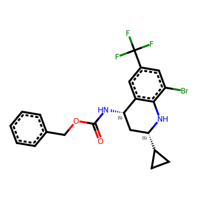 O=C(N[C@H]1C[C@@H](C2CC2)Nc2c(Br)cc(C(F)(F)F)cc21)OCc1ccccc1